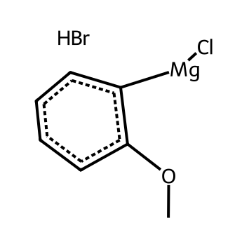 Br.COc1cccc[c]1[Mg][Cl]